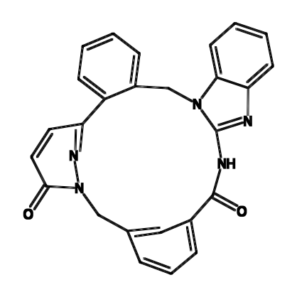 O=C1Nc2nc3ccccc3n2Cc2ccccc2-c2ccc(=O)n(n2)Cc2cccc1c2